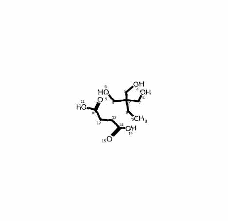 CCC(CO)(CO)CO.O=C(O)CCC(=O)O